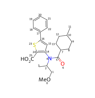 COCC(C)N(C(=O)C1CCC(C)CC1)c1cc(-c2ccccc2)sc1C(=O)O